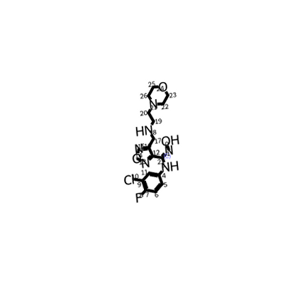 O/N=C(/Nc1ccc(F)c(Cl)c1)c1nonc1CNCCN1CCOCC1